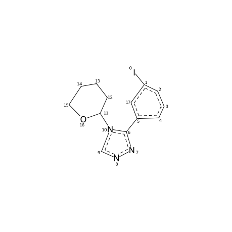 Ic1cccc(-c2nncn2C2CCCCO2)c1